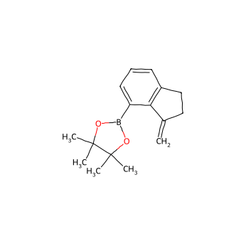 C=C1CCc2cccc(B3OC(C)(C)C(C)(C)O3)c21